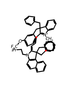 CC(C)CCN1/C(=C/C=C/C2=[N+](C)c3ccccc3C2(Cc2ccccc2)Cc2cccc(OC(F)(F)F)c2)C(Cc2ccccc2)(Cc2ccccc2)c2c1ccc1ccccc21